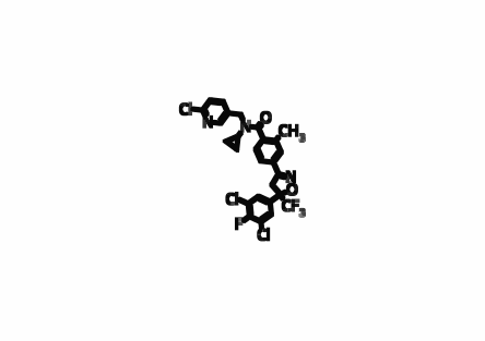 Cc1cc(C2=NOC(c3cc(Cl)c(F)c(Cl)c3)(C(F)(F)F)C2)ccc1C(=O)N(Cc1ccc(Cl)nc1)C1CC1